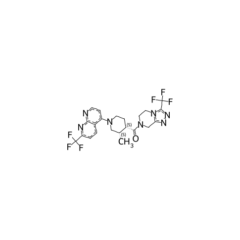 C[C@@H]1CN(c2ccnc3nc(C(F)(F)F)ccc23)CC[C@@H]1C(=O)N1CCn2c(nnc2C(F)(F)F)C1